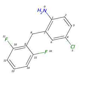 Nc1ccc(Cl)cc1Cc1c(F)cccc1F